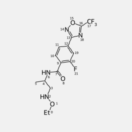 CCONCC(C)NC(=O)c1ccc(-c2noc(C(F)(F)F)n2)cc1F